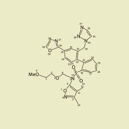 COCCOCN(c1onc(C)c1C)S(=O)(=O)c1ccccc1-c1ccc(-c2ncco2)cc1Cn1ccnn1